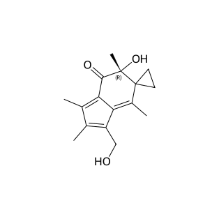 CC1=C(CO)C2=C(C)C3(CC3)[C@@](C)(O)C(=O)C2=C1C